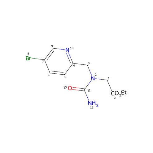 CCOC(=O)CN(Cc1ccc(Br)cn1)C(N)=O